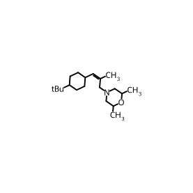 CC(=CC1CCC(C(C)(C)C)CC1)CN1CC(C)OC(C)C1